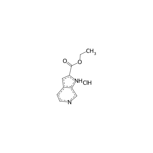 CCOC(=O)c1cc2ccncc2[nH]1.Cl